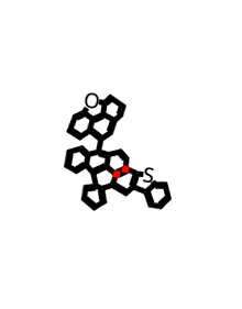 c1c(-c2ccccc2-c2c3c(c(-c4cc5cccc6oc7cccc4c7c56)c4ccccc24)C=CCC3)cc2c(c#1)sc1ccccc12